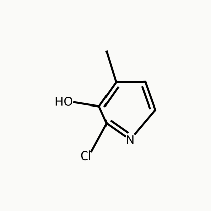 Cc1ccnc(Cl)c1O